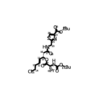 CC(C)[C@H](NC(=O)OC(C)(C)C)C(=O)O[C@H](C=CCCCl)CC(=O)NCc1nc(C(=O)OC(C)(C)C)cs1